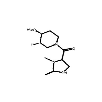 CO[C@H]1CCN(C(=O)C2CNC(C)N2C)C[C@H]1F